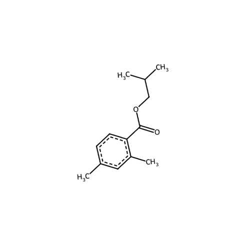 Cc1ccc(C(=O)OCC(C)C)c(C)c1